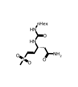 CCCCCCNC(=O)N[C@@H](/C=C/S(C)(=O)=O)CC(N)=O